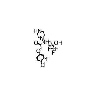 O=C(COc1ccc(Cl)c(F)c1)NN1CCNCC1.O=C(O)C(F)(F)F